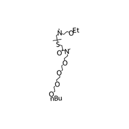 CCCCOCCOCCOCCOCCN(C)C(=O)CSC(C)(C)CN(C)CCOCC